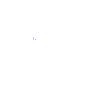 O=C1c2cc(F)c(Cl)nc2CC2CCCCC12